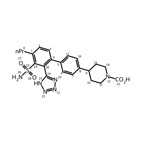 CCCc1ccc(-c2ccc(C3CCN(C(=O)O)CC3)cc2)c(-c2nnn[nH]2)c1S(N)(=O)=O